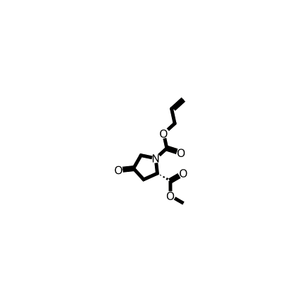 C=CCOC(=O)N1CC(=O)C[C@H]1C(=O)OC